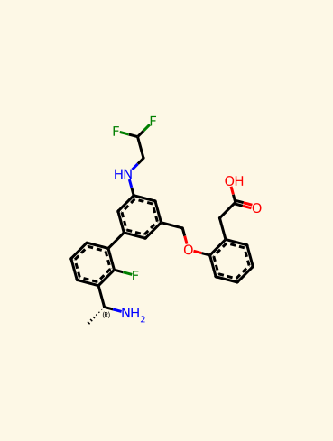 C[C@@H](N)c1cccc(-c2cc(COc3ccccc3CC(=O)O)cc(NCC(F)F)c2)c1F